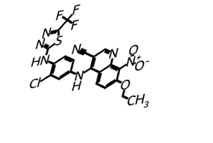 CCOc1ccc2c(Nc3ccc(Nc4nnc(C(F)(F)F)s4)c(Cl)c3)c(C#N)cnc2c1[N+](=O)[O-]